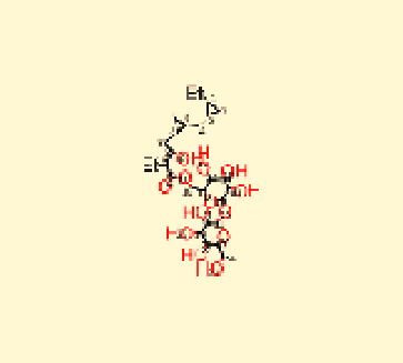 CC[C@@H]1C[C@@H]1C[C@@H]1C[C@@H]1C[C@@H](O)[C@@H](CC)C(=O)OCC1OC(OC2OC(CO)C(O)C(O)C2O)C(O)C(O)C1O